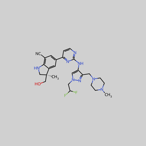 CN1CCN(Cc2nn(CC(F)F)cc2Nc2nccc(-c3cc(C#N)c4c(c3)[C@@](C)(CO)CN4)n2)CC1